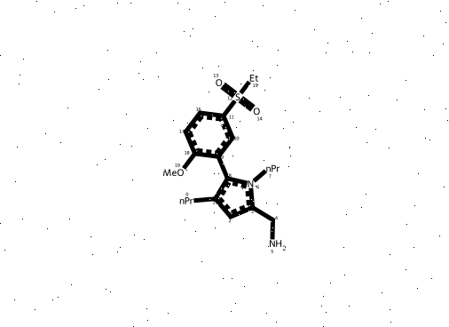 CCCc1cc(CN)n(CCC)c1-c1cc(S(=O)(=O)CC)ccc1OC